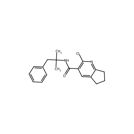 CC(C)(Cc1ccccc1)NC(=O)c1cc2c(nc1Cl)CCC2